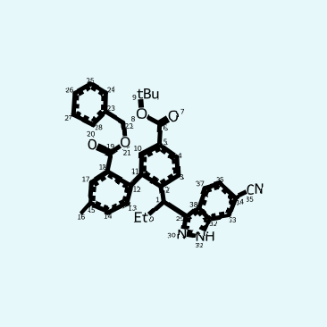 CCC(c1ccc(C(=O)OC(C)(C)C)cc1-c1ccc(C)cc1C(=O)OCc1ccccc1)c1n[nH]c2cc(C#N)ccc12